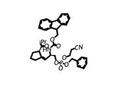 CC(C)C(=O)[C@@H]1CCC/C1=C/[C@H](COP(=O)(OCCC#N)OCc1ccccc1)NC(=O)OCC1c2ccccc2-c2ccccc21